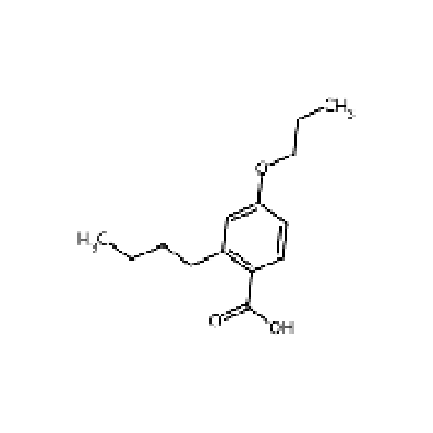 CCCCc1cc(OCCC)ccc1C(=O)O